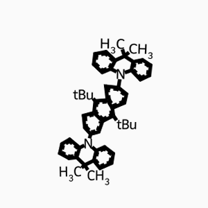 CC(C)(C)c1c2ccc(N3c4ccccc4C(C)(C)c4ccccc43)cc2c(C(C)(C)C)c2ccc(N3c4ccccc4C(C)(C)c4ccccc43)cc12